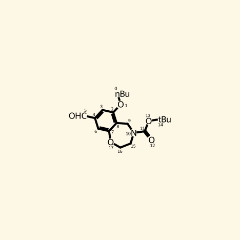 CCCCOc1cc(C=O)cc2c1CN(C(=O)OC(C)(C)C)CCO2